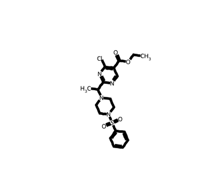 CCOC(=O)c1cnc(C(C)N2CCN(S(=O)(=O)c3ccccc3)CC2)nc1Cl